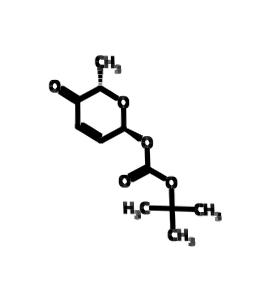 C[C@@H]1O[C@@H](OC(=O)OC(C)(C)C)C=CC1=O